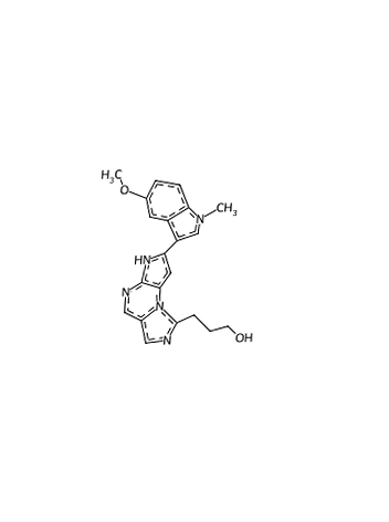 COc1ccc2c(c1)c(-c1cc3c(ncc4cnc(CCCO)n43)[nH]1)cn2C